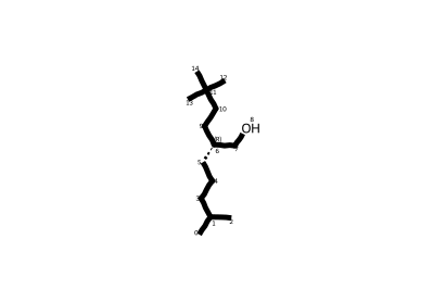 CC(C)CCC[C@@H](CO)CCC(C)(C)C